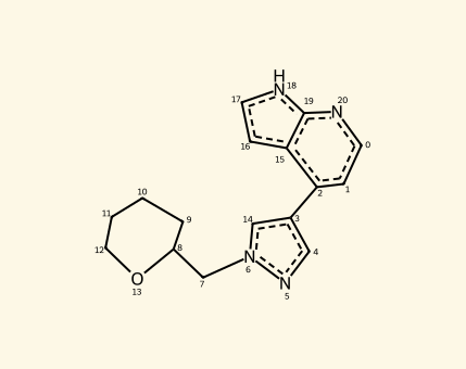 c1cc(-c2cnn(CC3CCCCO3)c2)c2cc[nH]c2n1